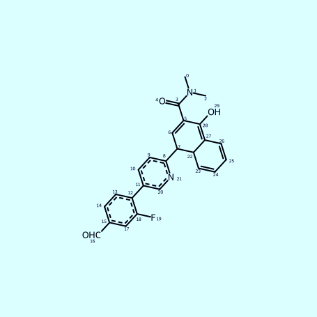 CN(C)C(=O)C1=CC(c2ccc(-c3ccc(C=O)cc3F)cn2)C2C=CC=CC2=C1O